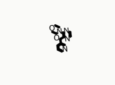 O=C(c1cccnc1)c1nccnc1N1CCOCC1